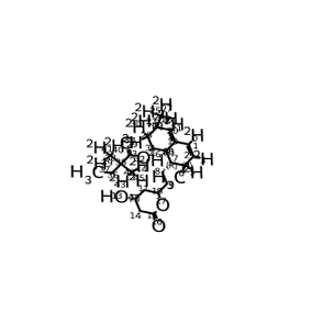 [2H]C1=C([2H])[C@]([2H])(C)[C@H](CCC2C[C@@H](O)CC(=O)O2)[C@@H]2C1=C([2H])[C@]([2H])(C([2H])([2H])[2H])C([2H])([2H])C2OC(=O)C(CC)(C([2H])([2H])[2H])C([2H])([2H])[2H]